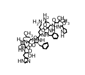 CC(C)C[C@H](NC(=O)[C@H](Cc1ccccc1)NC(=O)C(CCCCN)NC(=O)[C@H](Cc1ccccc1)NC(=O)[C@H](CC(N)=O)NC(=O)[C@@H](NC(=O)C1CCCN1)C(C)C)C(=O)NC(CO)C(=O)NC(Cc1cnc[nH]1)C(=O)O